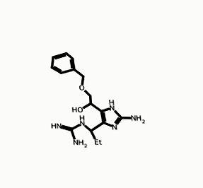 CCC(NC(=N)N)c1nc(N)[nH]c1C(O)COCc1ccccc1